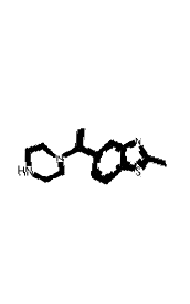 Cc1nc2cc(C(C)N3CCNCC3)ccc2s1